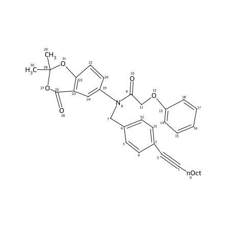 CCCCCCCCC#Cc1ccc(CN(C(=O)COc2ccccc2)c2ccc3c(c2)C(=O)OC(C)(C)O3)cc1